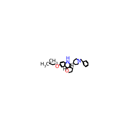 CC(C)CCOc1ccc2c(c1)[C@H]1OCCC[C@H]1[C@@H](C1CCN(Cc3ccccc3)CC1)N2